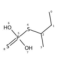 CCC(C)SP(O)(O)=S